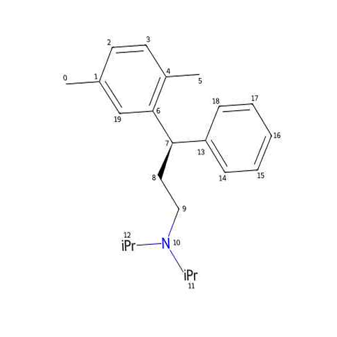 Cc1ccc(C)c([C@H](CCN(C(C)C)C(C)C)c2ccccc2)c1